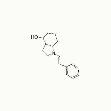 OC1CCCC2C1CCN2C=Cc1ccccc1